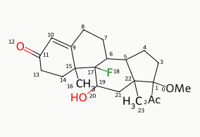 COC1(C(C)=O)CCC2C3CCC4=CC(=O)CCC4(C)C3(F)C(O)CC21C